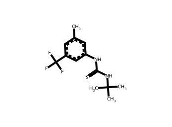 Cc1cc(NC(=S)NC(C)(C)C)cc(C(F)(F)F)c1